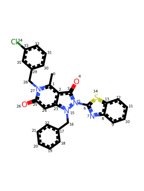 Cc1c2c(=O)n(-c3nc4ccccc4s3)n(Cc3ccccc3)c2cc(=O)n1Cc1cccc(Cl)c1